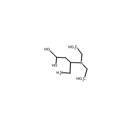 NCC(CC(O)O)N(CC(=O)O)CC(=O)O